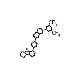 FC(F)(F)c1cc(-c2ccc3ccc(-c4ccc(-c5cccc6c5sc5ccccc56)cc4)cc3c2)cc(C(F)(F)F)c1